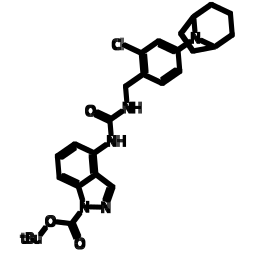 CC(C)(C)OC(=O)n1ncc2c(NC(=O)NCc3ccc(N4C5CCCC4CC5)cc3Cl)cccc21